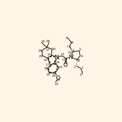 CCC[C@H]1CC[C@H](CCC)N1C(=O)Cn1c2c(c3ccc(OC)cc31)CCC(C)(C)C2